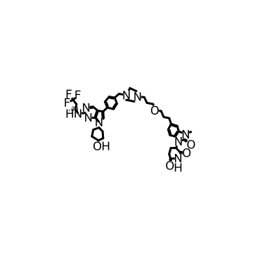 C[C@H](CC(F)(F)F)Nc1ncc2c(-c3ccc(CN4CCN(CCCOCCCc5ccc6c(c5)n(C)c(=O)n6C5CCC(=O)NC5=O)CC4)cc3)cn([C@H]3CC[C@H](O)CC3)c2n1